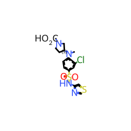 CN(c1ccc(S(=O)(=O)Nc2cscn2)cc1Cl)[C@H]1CCN(C(=O)O)C1